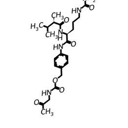 CC(=O)CNC(=O)OCc1ccc(NC(=O)[C@H](CCCNC(N)=O)NC(=O)[C@@H](C)C(C)C)cc1